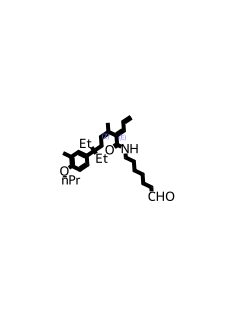 C=C/C=C(C(=O)NCCCCCCC=O)\C(C)=C/CC(CC)(CC)c1ccc(OCCC)c(C)c1